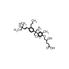 CCCc1cc(C(CC)(CC)c2ccc(OCC(O)CCC(=O)O)c(C)c2)ccc1/C=C/C(O)(CC)CC